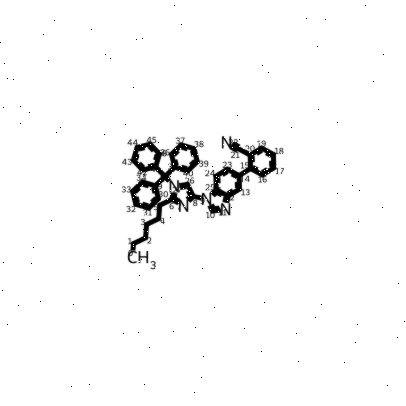 CCCCCCc1nc(-n2cnc3cc(-c4ccccc4C#N)ccc32)cn1C(c1ccccc1)(c1ccccc1)c1ccccc1